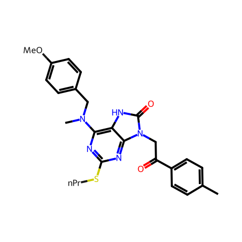 CCCSc1nc(N(C)Cc2ccc(OC)cc2)c2[nH]c(=O)n(CC(=O)c3ccc(C)cc3)c2n1